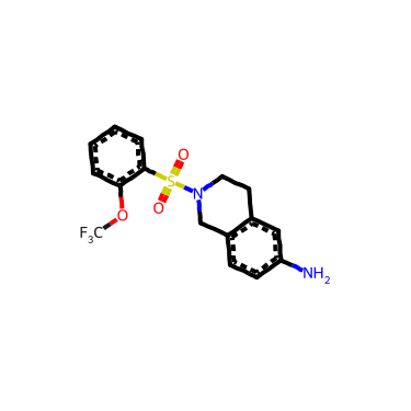 Nc1ccc2c(c1)CCN(S(=O)(=O)c1ccccc1OC(F)(F)F)C2